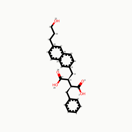 O=C(O)[C@@H](Cc1ccccc1)[C@H](Cc1ccc2cc(CCCO)ccc2c1)C(=O)O